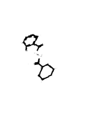 O=C(NNC(=O)C1CCCCC1)c1ccccc1Cl